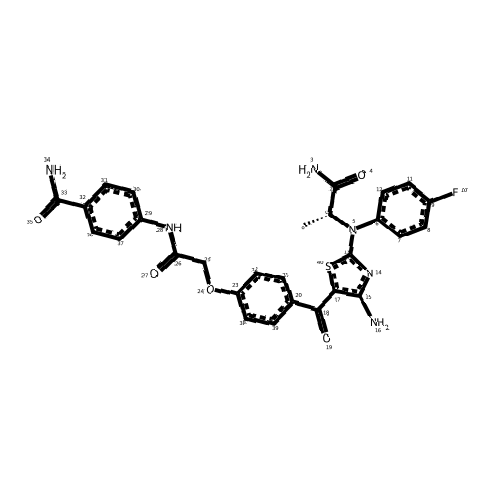 C[C@H](C(N)=O)N(c1ccc(F)cc1)c1nc(N)c(C(=O)c2ccc(OCC(=O)Nc3ccc(C(N)=O)cc3)cc2)s1